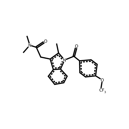 Cc1c(CC(=O)N(C)C)c2ccccc2n1C(=O)c1ccc(OC(F)(F)F)cc1